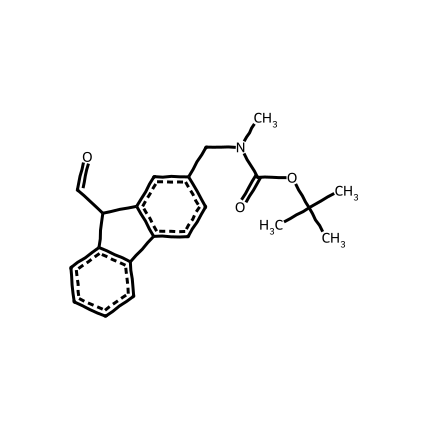 CN(Cc1ccc2c(c1)C(C=O)c1ccccc1-2)C(=O)OC(C)(C)C